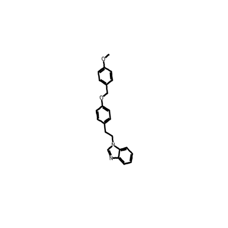 COc1ccc(COc2ccc(CCn3cnc4ccccc43)cc2)cc1